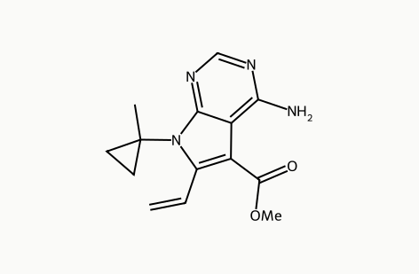 C=Cc1c(C(=O)OC)c2c(N)ncnc2n1C1(C)CC1